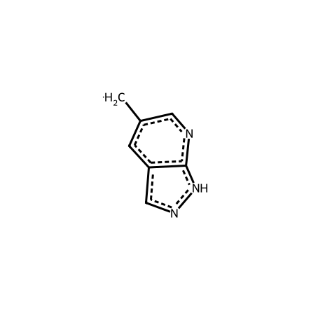 [CH2]c1cnc2[nH]ncc2c1